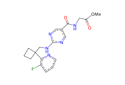 COC(=O)CNC(=O)c1cnc(NCC2(c3ncccc3F)CCC2)nc1